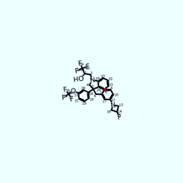 O[C@H](CN1CC(Cc2cccc(N3CC(F)C3)c2)(c2cccc(OC(F)(F)F)c2)c2ccccc21)C(F)(F)F